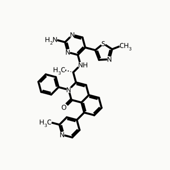 Cc1cc(-c2cccc3cc([C@H](C)Nc4nc(N)ncc4-c4cnc(C)s4)n(-c4ccccc4)c(=O)c23)ccn1